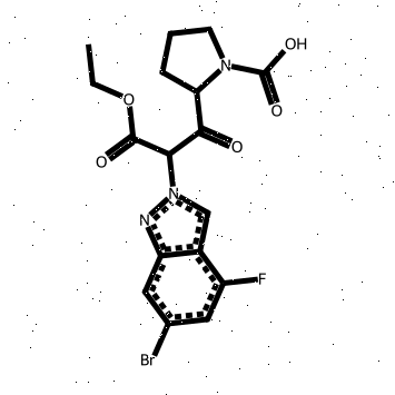 CCOC(=O)C(C(=O)C1CCCN1C(=O)O)n1cc2c(F)cc(Br)cc2n1